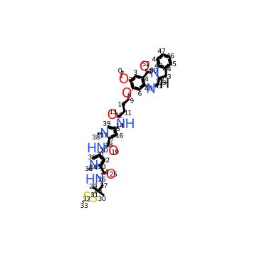 COc1cc2c(cc1OCCCC(=O)Nc1cc(C(=O)Nc3cc(C(=O)NCC(C)(C)SSC)n(C)c3)n(C)c1)N=C[C@@H]1Cc3ccccc3N1C2=O